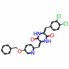 O=c1[nH]c(=Cc2ccc(OCc3ccccc3)cn2)c(=O)[nH]c1=Cc1ccc(Cl)c(Cl)c1